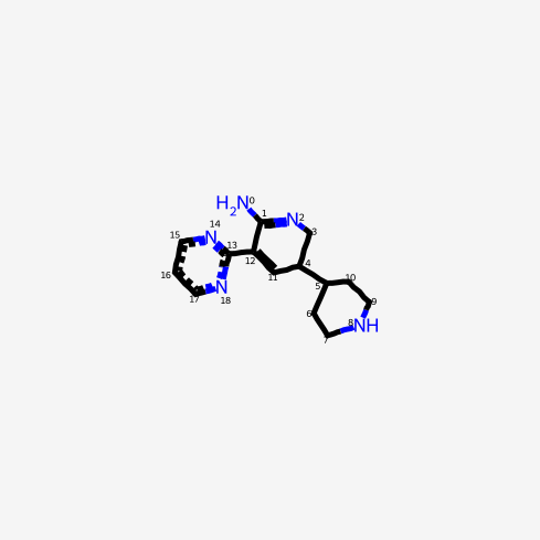 NC1=NCC(C2CCNCC2)C=C1c1ncccn1